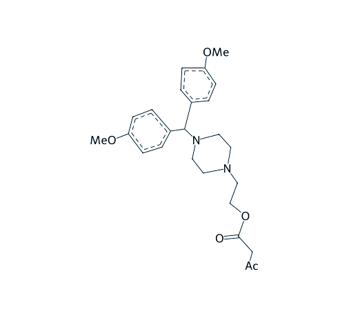 COc1ccc(C(c2ccc(OC)cc2)N2CCN(CCOC(=O)CC(C)=O)CC2)cc1